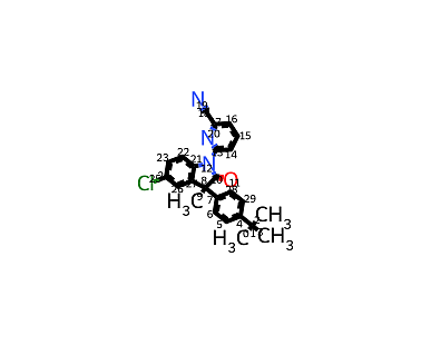 CC(C)(C)c1ccc(C2(C)C(=O)N(c3cccc(C#N)n3)c3ccc(Cl)cc32)cc1